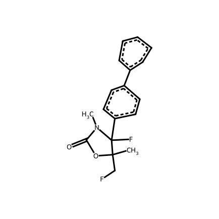 CN1C(=O)OC(C)(CF)C1(F)c1ccc(-c2ccccc2)cc1